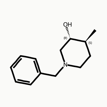 C[C@H]1CCN(Cc2ccccc2)C[C@@H]1O